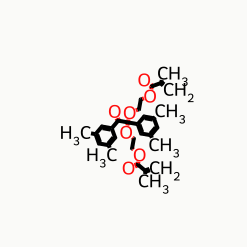 C=C(C)C(=O)OCCOC(OCCOC(=O)C(=C)C)(C(=O)c1cc(C)cc(C)c1)c1cc(C)cc(C)c1